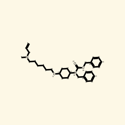 C=CCN(C)CCCCCCOC1CCC(N(Cc2ccccc2)C(=O)OCc2ccccc2)CC1